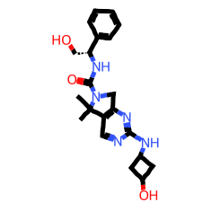 CC1(C)c2cnc(NC3CC(O)C3)nc2CN1C(=O)N[C@H](CO)c1ccccc1